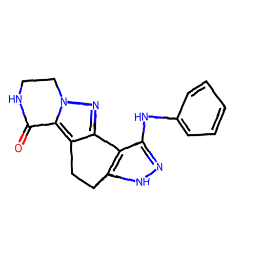 O=C1NCCn2nc3c(c21)CCc1[nH]nc(Nc2ccccc2)c1-3